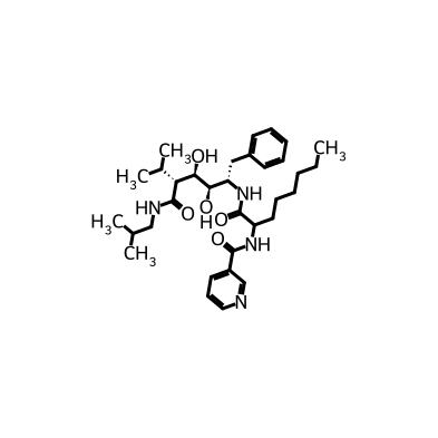 CCCCCCC(NC(=O)c1cccnc1)C(=O)N[C@@H](Cc1ccccc1)[C@@H](O)[C@H](O)[C@H](C(=O)NCC(C)C)C(C)C